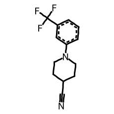 N#CC1CCN(c2cccc(C(F)(F)F)c2)CC1